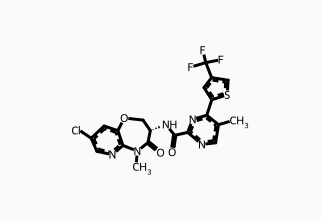 Cc1cnc(C(=O)N[C@H]2COc3cc(Cl)cnc3N(C)C2=O)nc1-c1cc(C(F)(F)F)cs1